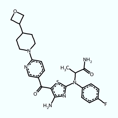 CC(C(N)=O)N(c1ccc(F)cc1)c1nc(N)c(C(=O)c2ccc(N3CCC(C4COC4)CC3)nc2)s1